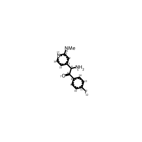 CNc1cc(C(N)C(=O)c2ccc(F)cc2)ccn1